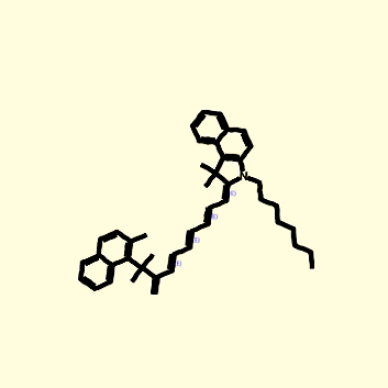 C=C(/C=C/C=C/C=C/C=C1/N(CCCCCCCC)c2ccc3ccccc3c2C1(C)C)C(C)(C)c1c(C)ccc2ccccc12